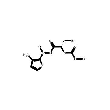 Cc1ccsc1[S+]([O-])NC(=O)[C@H](CC(C)C)NC(=O)OC(C)(C)C